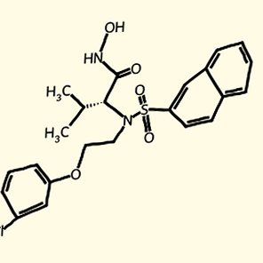 CC(C)[C@H](C(=O)NO)N(CCOc1cccc(Cl)c1)S(=O)(=O)c1ccc2ccccc2c1